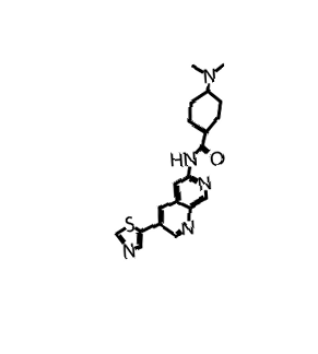 CN(C)C1CCC(C(=O)Nc2cc3cc(-c4cncs4)cnc3cn2)CC1